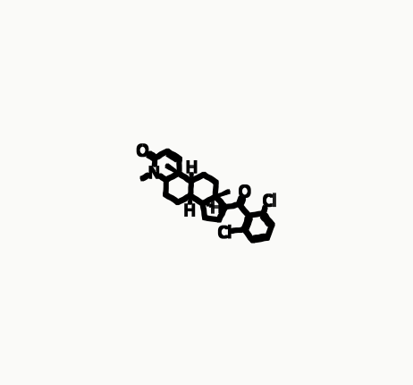 CN1C(=O)C=C[C@@]2(C)C1CC[C@@H]1[C@H]2CC[C@]2(C)C(C(=O)c3c(Cl)cccc3Cl)CC[C@@H]12